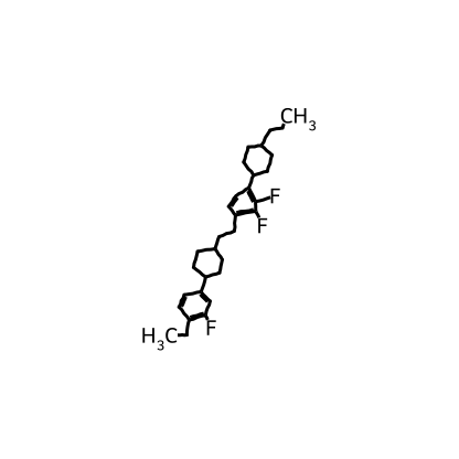 CCCC1CCC(c2ccc(CCC3CCC(c4ccc(CC)c(F)c4)CC3)c(F)c2F)CC1